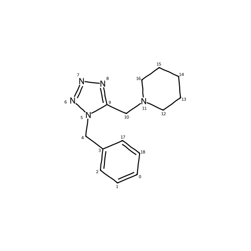 c1ccc(Cn2nnnc2CN2CCCCC2)cc1